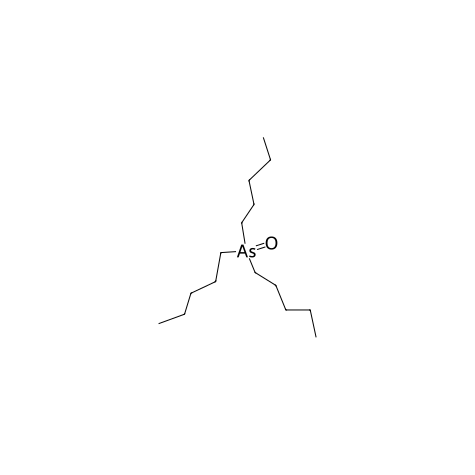 CCCCC[As](=O)(CCCCC)CCCCC